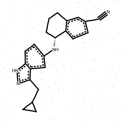 N#Cc1ccc2c(c1)CCC[C@H]2Nc1ccc2[nH]nc(CC3CC3)c2c1